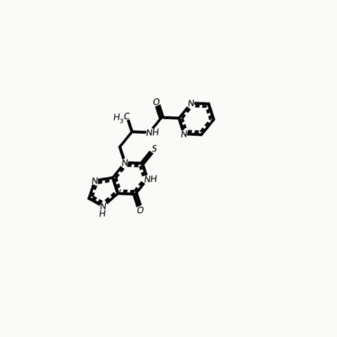 CC(Cn1c(=S)[nH]c(=O)c2[nH]cnc21)NC(=O)c1ncccn1